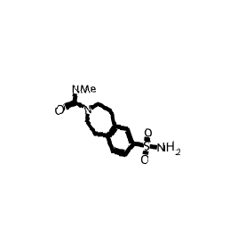 CNC(=O)N1CCc2ccc(S(N)(=O)=O)cc2CC1